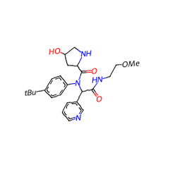 COCCNC(=O)C(c1cccnc1)N(C(=O)C1CC(O)CN1)c1ccc(C(C)(C)C)cc1